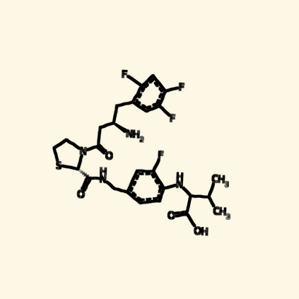 CC(C)C(Nc1ccc(CNC(=O)[C@@H]2SCCN2C(=O)C[C@H](N)Cc2cc(F)c(F)cc2F)cc1F)C(=O)O